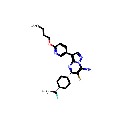 COCCCOc1ccc(-c2cnn3c(N)c(Br)c([C@H]4CC[C@@H](C(F)C(=O)O)CC4)nc23)cn1